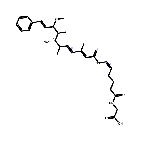 COC(/C=C/c1ccccc1)C(C)[C@@H](O)C(C)/C=C/C(C)=C/C(=O)N/C=C\CCCC(=O)NCC(=O)O